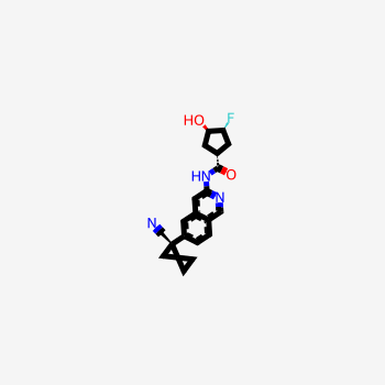 N#C[C@]1(c2ccc3cnc(NC(=O)[C@@H]4C[C@@H](O)[C@H](F)C4)cc3c2)CC12CC2